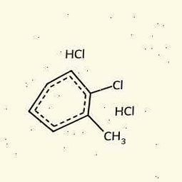 Cc1ccccc1Cl.Cl.Cl